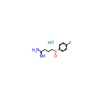 Cl.N=C(N)CCC[S+]([O-])c1ccc(F)cc1